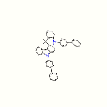 CC1(C)C2=C(CCC=C2)N(c2ccc(-c3ccccc3)cc2)c2ccc3c(c21)c1ccccc1n3-c1ccc(-c2ccccc2)cc1